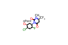 CCCCCOc1cc(-n2c(=O)cc(C(F)(F)F)n(C)c2=O)c(F)cc1Cl